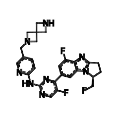 FC[C@@H]1CCc2nc3c(F)cc(-c4nc(Nc5ccc(CN6CC7(CNC7)C6)cn5)ncc4F)cc3n21